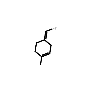 CCC=C1CC=C(C)CC1